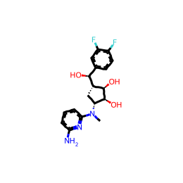 CN(c1cccc(N)n1)[C@@H]1C[C@H]([C@@H](O)c2ccc(F)c(F)c2)[C@@H](O)[C@H]1O